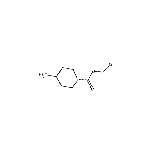 O=C(O)C1CCN(C(=O)OCCl)CC1